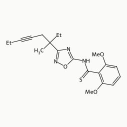 CCC#CCC(C)(CC)c1noc(NC(=S)c2c(OC)cccc2OC)n1